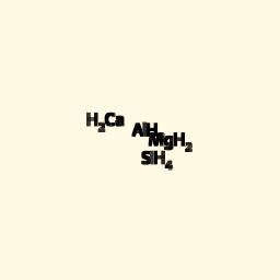 [AlH3].[CaH2].[MgH2].[SiH4]